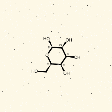 OC[C@H]1O[C@@H](O)[C@@H](O)[C@@H](O)[C@H]1O